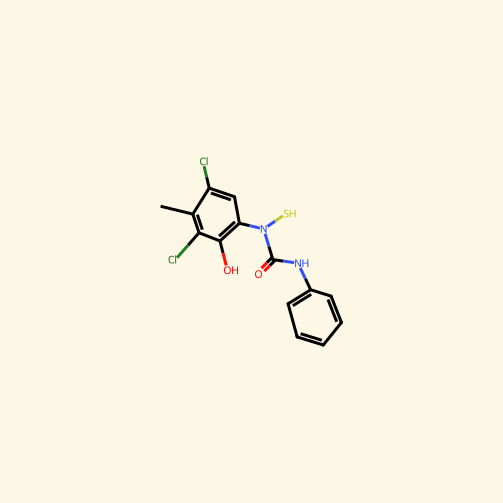 Cc1c(Cl)cc(N(S)C(=O)Nc2ccccc2)c(O)c1Cl